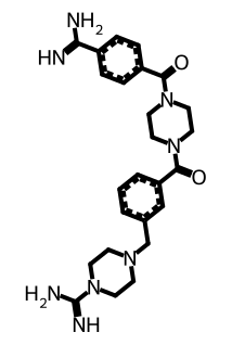 N=C(N)c1ccc(C(=O)N2CCN(C(=O)c3cccc(CN4CCN(C(=N)N)CC4)c3)CC2)cc1